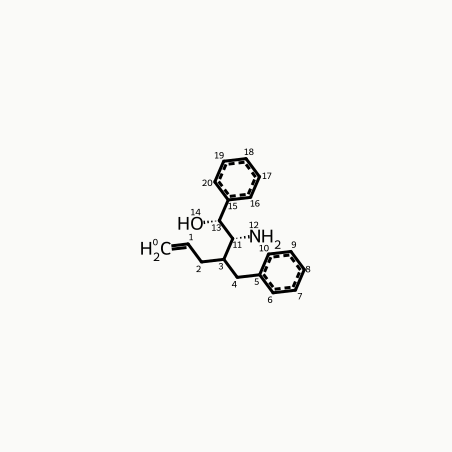 C=CCC(Cc1ccccc1)[C@@H](N)[C@H](O)c1ccccc1